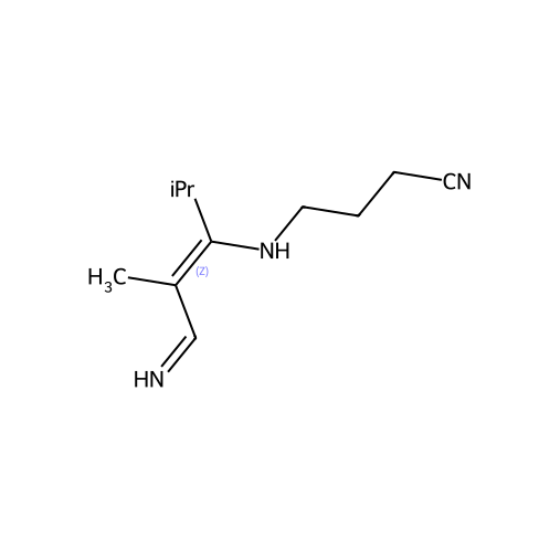 C/C(C=N)=C(/NCCCC#N)C(C)C